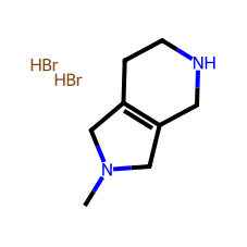 Br.Br.CN1CC2=C(CNCC2)C1